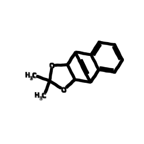 CC1(C)OC2C3C=CC(c4ccccc43)C2O1